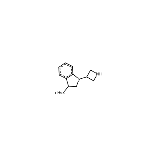 [CH2]CCCCCC1CN(C2CNC2)c2ccccc21